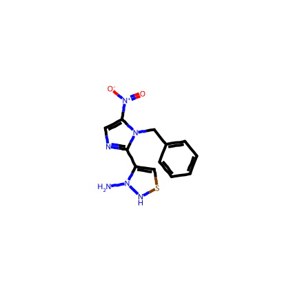 NN1NSC=C1c1ncc([N+](=O)[O-])n1Cc1ccccc1